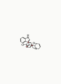 O=C(c1c[nH]c2ccccc12)N1CN2CC=CC(O1)C2c1ccc(Cl)cc1